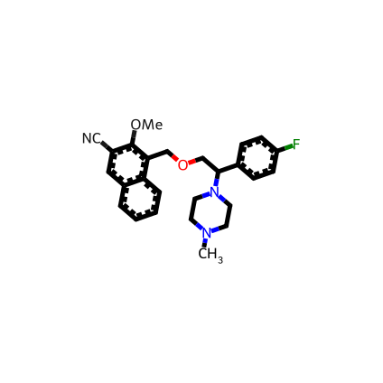 COc1c(C#N)cc2ccccc2c1COCC(c1ccc(F)cc1)N1CCN(C)CC1